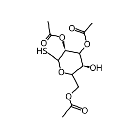 CC(=O)OCC1OC(S)[C@@H](OC(C)=O)C(OC(C)=O)[C@H]1O